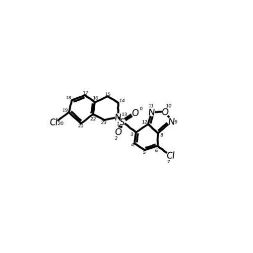 O=S(=O)(c1ccc(Cl)c2nonc12)N1CCc2ccc(Cl)cc2C1